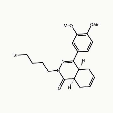 COc1ccc(C2=NN(CCCCBr)C(=O)[C@@H]3CC=CC[C@H]23)cc1OC